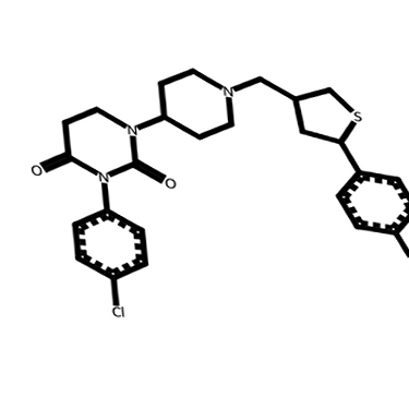 O=C1CCN(C2CCN(CC3CSC(c4ccc(F)cc4)C3)CC2)C(=O)N1c1ccc(Cl)cc1